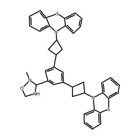 CN1OCNC1c1cc(C2CC(N3c4ccccc4Sc4ccccc43)C2)cc(C2CC(N3c4ccccc4Sc4ccccc43)C2)c1